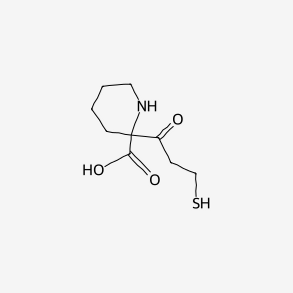 O=C(O)C1(C(=O)CCS)CCCCN1